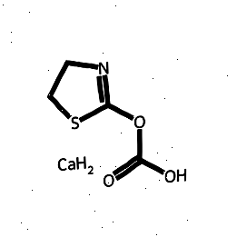 O=C(O)OC1=NCCS1.[CaH2]